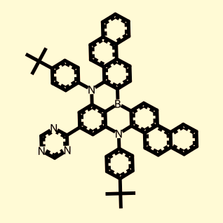 CC(C)(C)c1ccc(N2c3cc(-c4ncncn4)cc4c3B(c3ccc5c(ccc6ccccc65)c32)c2ccc3c(ccc5ccccc53)c2N4c2ccc(C(C)(C)C)cc2)cc1